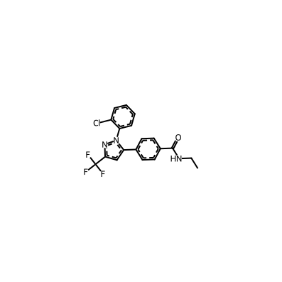 CCNC(=O)c1ccc(-c2cc(C(F)(F)F)nn2-c2ccccc2Cl)cc1